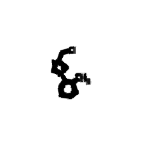 Cc1ccccc1-n1cnc(CCl)c1